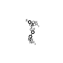 CC(O)(c1ccc(F)cc1)C(F)(F)CCOc1cc(-c2ccn3nc(N)nc3c2)ccc1F